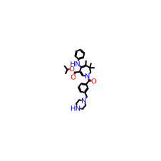 CC1=C(Nc2ccccc2)C(C(=O)OC(C)C)=CN(C(=O)c2cccc(CN3CCNCC3)c2)CC1(C)C